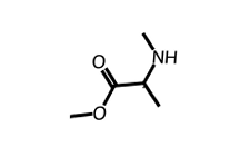 CN[C](C)C(=O)OC